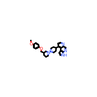 COc1ccc(OCC2CCCN(N3CCC(c4ccnc5cnc6[nH]ccc6c45)CC3)C2)cc1